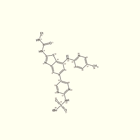 CCNC(=O)Nc1nc2cc(-c3cnc(NS(=O)(=O)C(C)(C)C)nc3)cc(Nc3ccc(C)cn3)c2s1